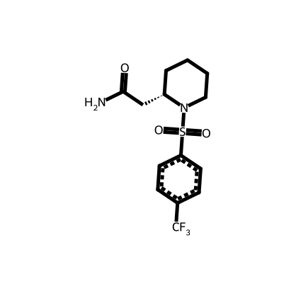 NC(=O)C[C@@H]1CCCCN1S(=O)(=O)c1ccc(C(F)(F)F)cc1